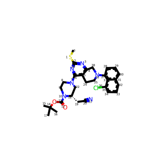 CSc1nc2c(c(N3CCN(C(=O)OC(C)(C)C)[C@@H](CC#N)C3)n1)CCN(c1cccc3cccc(Cl)c13)C2